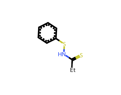 CCC(=S)NSc1ccccc1